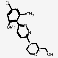 COc1cc(Cl)cc(C)c1-c1ccc(N2CCO[C@H](CO)C2)nn1